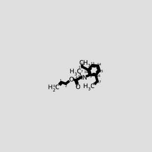 C=CCOC(=O)[C@H](C)Nc1c(CC)cccc1CC